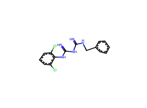 N=C(NCc1ccccc1)NC(=N)Nc1c(Cl)cccc1Cl